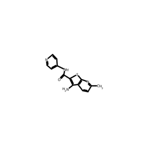 Cc1ccc2c(N)c(C(=O)Nc3ccncc3)sc2n1